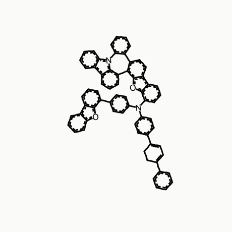 C1=C(c2ccccc2)CCC(c2ccc(N(c3ccc(-c4cccc5c4oc4ccccc45)cc3)c3cccc4c3oc3c5c(ccc34)-c3ccccc3-n3c4ccccc4c4cccc-5c43)cc2)=C1